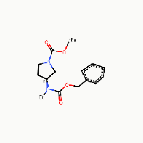 CCN(C(=O)OCc1ccccc1)[C@H]1CCN(C(=O)OC(C)(C)C)C1